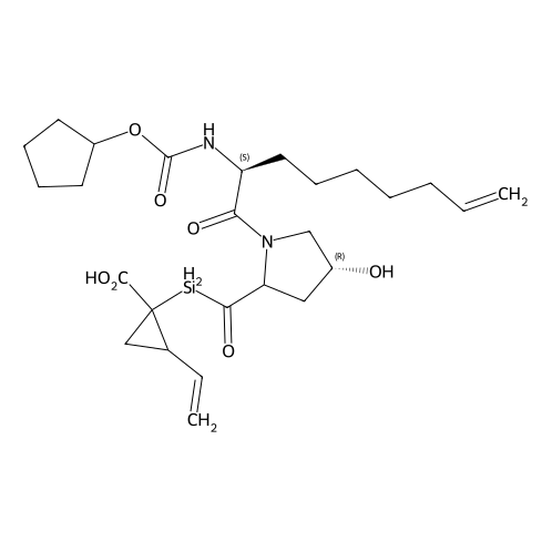 C=CCCCCC[C@H](NC(=O)OC1CCCC1)C(=O)N1C[C@H](O)CC1C(=O)[SiH2]C1(C(=O)O)CC1C=C